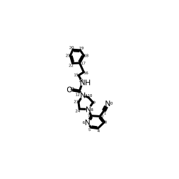 N#Cc1cccnc1N1CCN(C(=O)NCCc2ccccc2)CC1